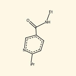 CCNC(=O)c1ccc(C(C)C)nc1